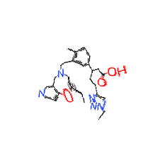 CC[C@@H]1CN(Cc2cc(C(CCc3cn(CC)nn3)CC(=O)O)ccc2C)Cc2cnccc2O1